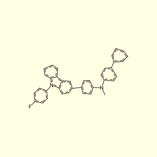 CN(c1ccc(-c2ccccc2)cc1)c1ccc(-c2ccc3c(c2)c2ccccc2n3-c2ccc(F)cc2)cc1